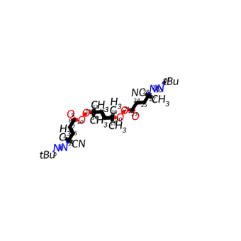 CC(C)(C)/N=N/C(C)(C#N)CCC(=O)OOC(C)(C)CCC(C)(C)OOC(=O)CCC(C)(C#N)/N=N/C(C)(C)C